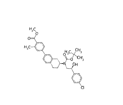 COC(=O)c1ccc(-c2ccc3c(c2)C[C@@H](N(C[C@@H](O)c2ccc(Cl)cc2)C(=O)OC(C)(C)C)CC3)cc1C